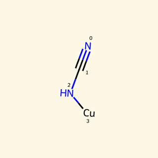 N#C[NH][Cu]